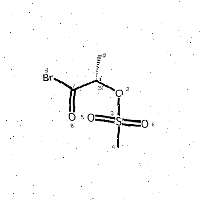 C[C@H](OS(C)(=O)=O)C(=O)Br